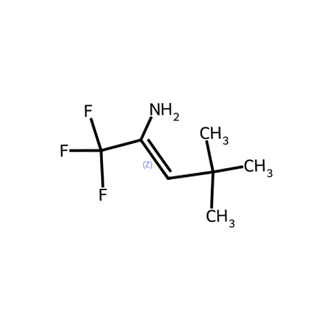 CC(C)(C)/C=C(\N)C(F)(F)F